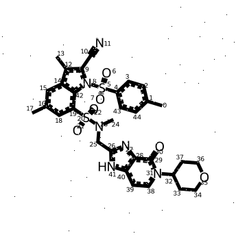 Cc1ccc(S(=O)(=O)n2c(C#N)c(C)c3cc(C)cc(S(=O)(=O)N(C)Cc4nc5c(=O)n(C6CCOCC6)ccc5[nH]4)c32)cc1